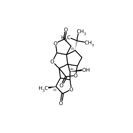 C[C@@H]1C(=O)OC2C1C13OC4OC(=O)CC45[C@H](C(C)(C)C)CC(OC1=O)C35[C@H]2O